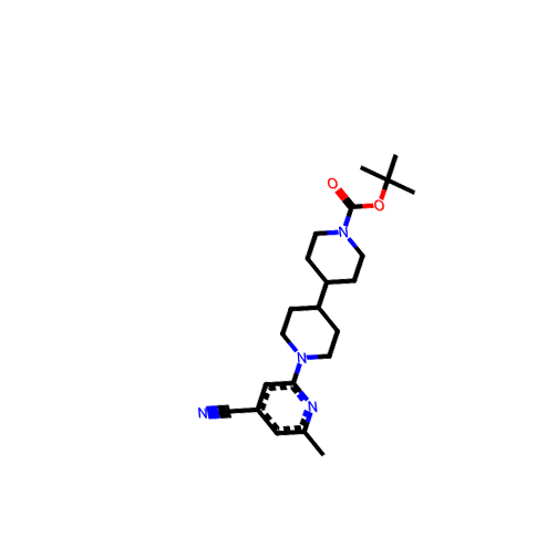 Cc1cc(C#N)cc(N2CCC(C3CCN(C(=O)OC(C)(C)C)CC3)CC2)n1